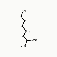 COC(C[SiH2]CCCC#N)OC